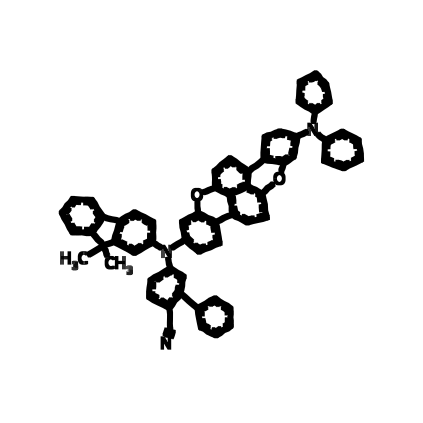 CC1(C)c2ccccc2-c2ccc(N(c3ccc4c(c3)Oc3ccc5c6c(ccc-4c36)Oc3cc(N(c4ccccc4)c4ccccc4)ccc3-5)c3ccc(C#N)c(-c4ccccc4)c3)cc21